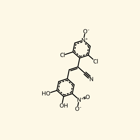 N#CC(=Cc1cc(O)c(O)c([N+](=O)[O-])c1)c1c(Cl)c[n+]([O-])cc1Cl